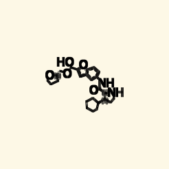 O=C(Nc1ccc2oc(C(O)OC[C@@H]3CCCO3)cc2c1)[C@H]1NCC[C@H]1C1CCCCC1